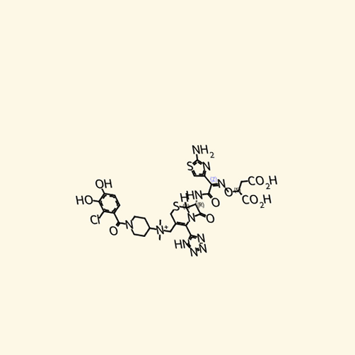 C[N+](C)(CC1=C(c2nnn[nH]2)N2C(=O)[C@@H](NC(=O)/C(=N\O[C@@H](CC(=O)O)C(=O)O)c3csc(N)n3)[C@H]2SC1)C1CCN(C(=O)c2ccc(O)c(O)c2Cl)CC1